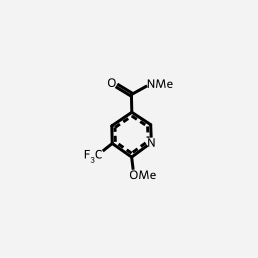 CNC(=O)c1cnc(OC)c(C(F)(F)F)c1